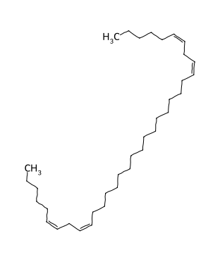 CCCCC/C=C\C/C=C\CCCCCCCCCCCCCCC/C=C\C/C=C\CCCCC